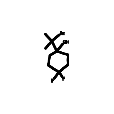 CC(=O)C(C)(C)C1(O)CCC(F)(F)CC1